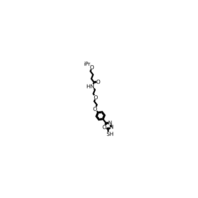 CC(C)OCCCC(=O)NCCOCCOc1ccc(-c2nnc(S)o2)cc1